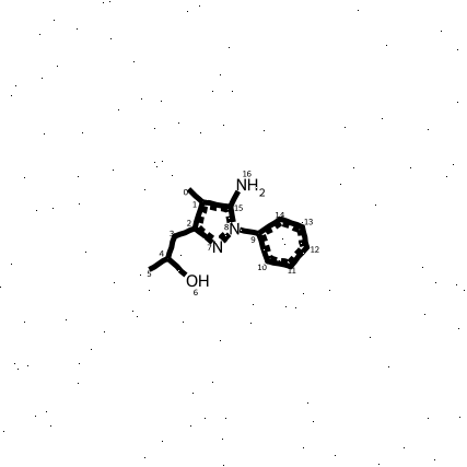 Cc1c(CC(C)O)nn(-c2ccccc2)c1N